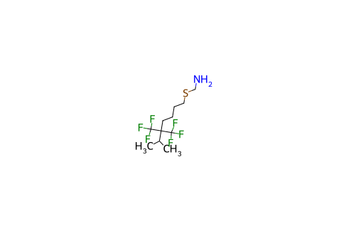 CC(C)C(CCCCSCN)(C(F)(F)F)C(F)(F)F